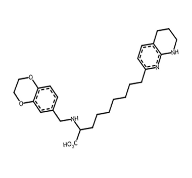 O=C(O)C(CCCCCCCc1ccc2c(n1)NCCC2)NCc1ccc2c(c1)OCCO2